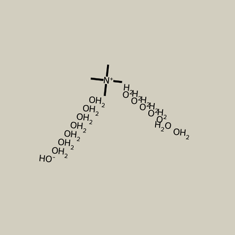 C[N+](C)(C)C.O.O.O.O.O.O.O.O.O.O.O.O.O.O.[OH-]